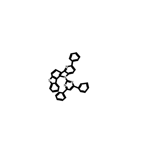 c1ccc(-c2cc(-c3ccccc3)nc(-n3c4ccc(-c5ccccc5)nc4c4ccc5sc6ccccc6c5c43)n2)cc1